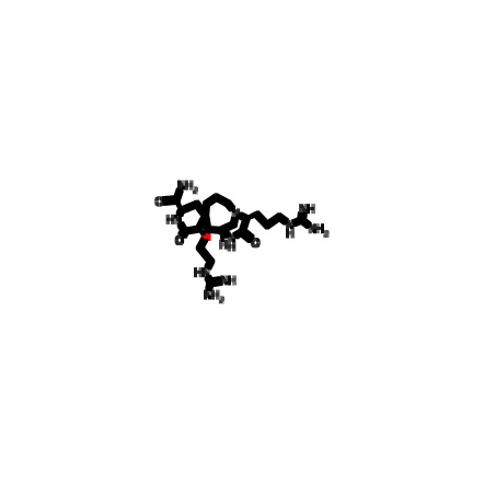 N=C(N)NCCC[C@H]1C(=O)N[C@@H]2CN1CCCC1(C[C@H](C(N)=O)NC(=O)[C@@H]1CCCNC(=N)N)C2=O